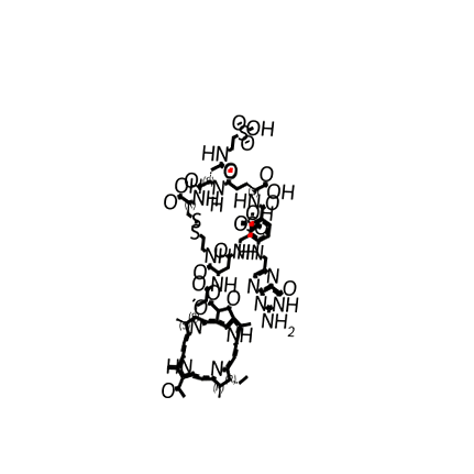 CC[C@H]1c2cc3[nH]c4c(c3C)C(=O)C(C(=O)OC)c4c3nc(cc4[nH]c(cc(n2)[C@@H]1C)c(C(C)=O)c4C)[C@@H](C)[C@@H]3CCC(=O)NC(CC(=O)NCCS(=O)(=O)O)C(=O)NCCSSC[C@H](NC(=O)[C@H](CC(=O)NCCS(=O)(=O)O)NC(=O)CC[C@H](NC(=O)c1ccc(NCc2cnc3nc(N)[nH]c(=O)c3n2)cc1)C(=O)O)C(=O)O